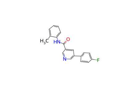 Cc1ccccc1NC(=O)c1cncc(-c2ccc(F)cc2)c1